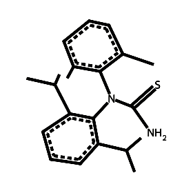 Cc1cccc(C)c1N(C(N)=S)c1c(C(C)C)cccc1C(C)C